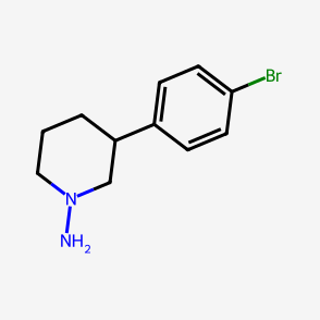 NN1CCCC(c2ccc(Br)cc2)C1